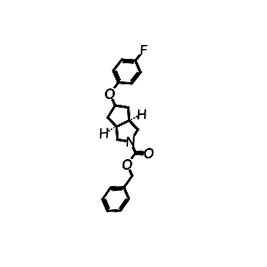 O=C(OCc1ccccc1)N1C[C@H]2CC(Oc3ccc(F)cc3)C[C@H]2C1